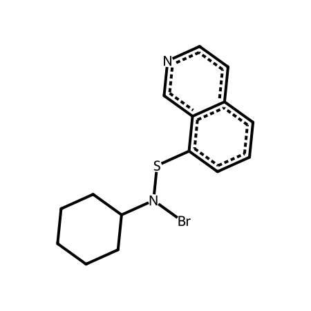 BrN(Sc1cccc2ccncc12)C1CCCCC1